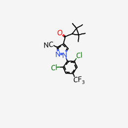 CC1(C)C(C(=O)c2cn(-c3c(Cl)cc(C(F)(F)F)cc3Cl)nc2C#N)C1(C)C